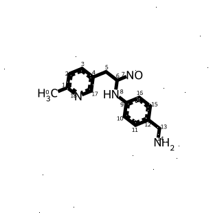 Cc1ccc(CC(N=O)Nc2ccc(CN)cc2)cn1